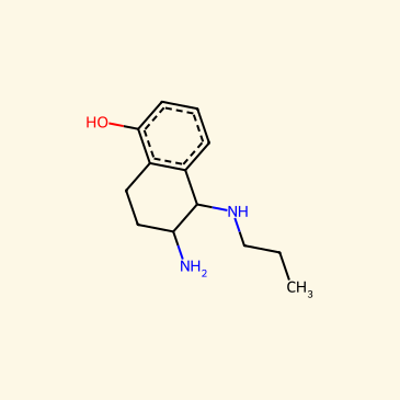 CCCNC1c2cccc(O)c2CCC1N